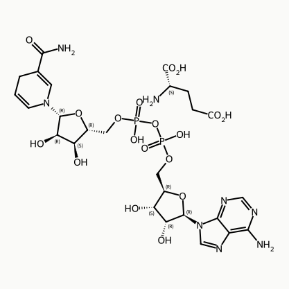 NC(=O)C1=CN([C@@H]2O[C@H](COP(=O)(O)OP(=O)(O)OC[C@H]3O[C@@H](n4cnc5c(N)ncnc54)[C@H](O)[C@@H]3O)[C@@H](O)[C@H]2O)C=CC1.N[C@@H](CCC(=O)O)C(=O)O